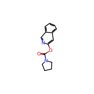 O=C(Oc1cc2ccccc2cn1)N1CCCC1